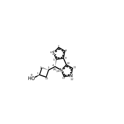 O[C@H]1C[C@H]([C@@H]2c3sccc3-c3cncn32)C1